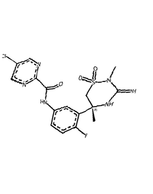 CN1C(=N)N[C@](C)(c2cc(NC(=O)c3ncc(Cl)cn3)ccc2F)CS1(=O)=O